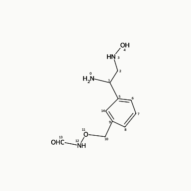 NC(CNO)c1cccc(CONC=O)c1